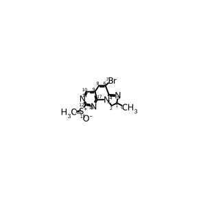 CC1CN2C(=N1)C(Br)=Cc1cnc([S+](C)[O-])nc12